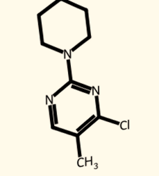 Cc1cnc(N2CCCCC2)nc1Cl